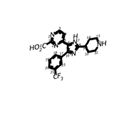 O=C(O)c1nccc(-c2[nH]c(C3CCNCC3)nc2-c2cccc(C(F)(F)F)c2)n1